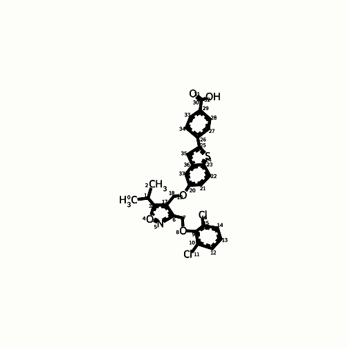 CC(C)c1onc(COc2c(Cl)cccc2Cl)c1COc1ccc2sc(-c3ccc(C(=O)O)cc3)cc2c1